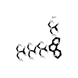 CCN(CC)C(=S)[S-].CCN(CC)C(=S)[S-].CCN(CC)C(=S)[S-].CCN(CC)C(=S)[S-].[Sn+4].c1cnc2c(c1)ccc1ncccc12